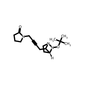 CC(C)(C)ON1[C@@H]2CCN1C2CC#CCN1CCCC1=O